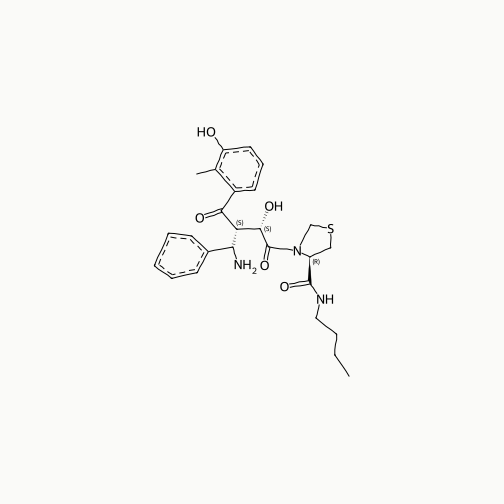 CCCCNC(=O)[C@@H]1CSCN1C(=O)[C@@H](O)[C@@H](C(=O)c1cccc(O)c1C)C(N)c1ccccc1